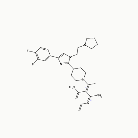 C=C/N=C(N)\C(C(=C)N)=C(/C)N1CCC(c2nc(-c3ccc(F)c(F)c3)cn2CCN2CCCC2)CC1